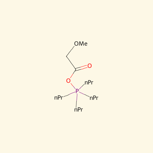 CCCP(CCC)(CCC)(CCC)OC(=O)COC